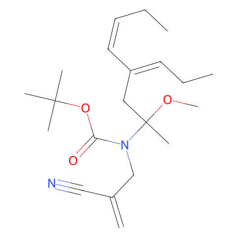 C=C(C#N)CN(C(=O)OC(C)(C)C)C(C)(CC(/C=C\CC)=C\CC)OC